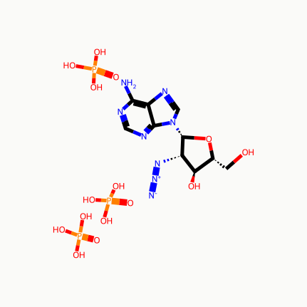 O=P(O)(O)O.O=P(O)(O)O.O=P(O)(O)O.[N-]=[N+]=N[C@H]1[C@H](O)[C@@H](CO)O[C@H]1n1cnc2c(N)ncnc21